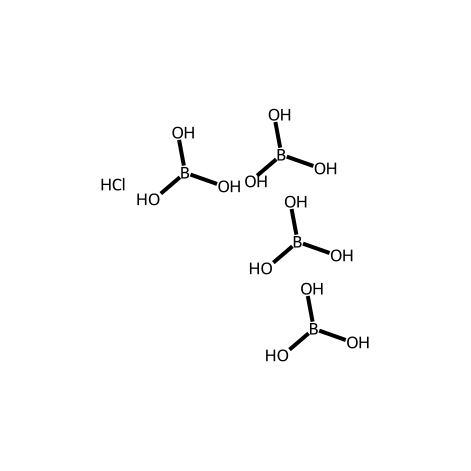 Cl.OB(O)O.OB(O)O.OB(O)O.OB(O)O